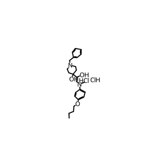 CCCCOc1ccc(N(C)CC(O)C2(O)CCN(Cc3ccccc3)CC2)cc1.Cl.Cl